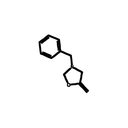 C=C1CN(Cc2ccccc2)CO1